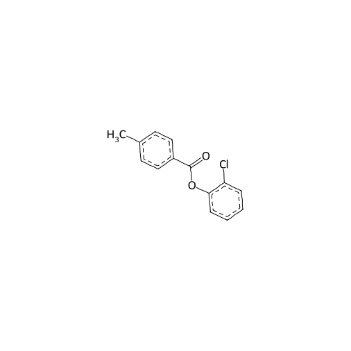 Cc1ccc(C(=O)Oc2ccccc2Cl)cc1